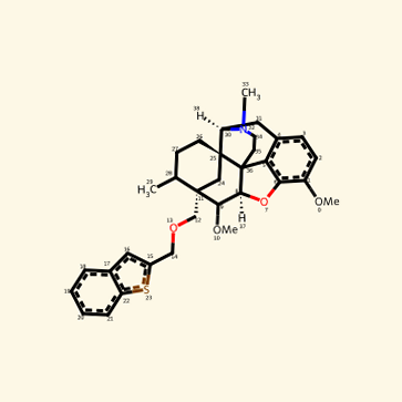 COc1ccc2c3c1O[C@H]1C(OC)[C@]4(COCc5cc6ccccc6s5)C[C@]5(CCC4C)[C@@H](C2)N(C)CCC315